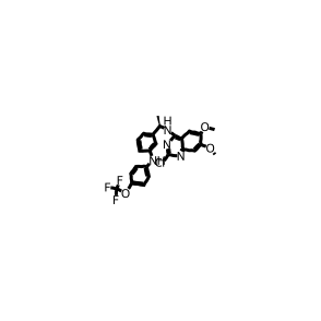 COc1cc2nc(Cl)nc(N[C@H](C)c3cccc(Nc4ccc(OC(F)(F)F)cc4)c3)c2cc1OC